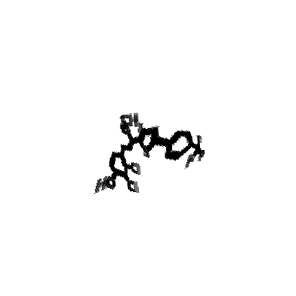 COC(CCc1ccc(O)c(Cl)c1Cl)c1ccc(-c2ccc(C(F)(F)F)cc2)s1